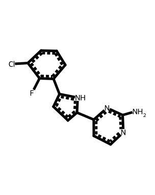 Nc1nccc(-c2ccc(-c3cccc(Cl)c3F)[nH]2)n1